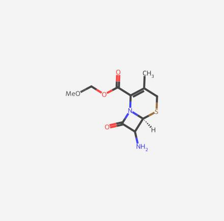 COCOC(=O)C1=C(C)CS[C@H]2C(N)C(=O)N12